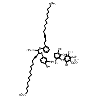 CCCCCCCCCCCCCCCCCCCCC#CCCc1ccccc1N=C(CCCCC)C(C#CCCCCCCCCCCCCCCCCCCCCCC)=Nc1ccc(CCC)c(CCC)c1.CCc1ccc(O)c(O)c1C(=O)[O-].CCc1ccc(O)c(O)c1C(=O)[O-].[Ni+2]